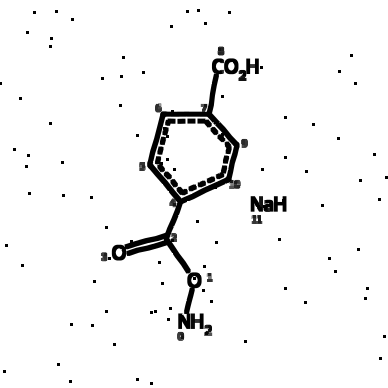 NOC(=O)c1ccc(C(=O)O)cc1.[NaH]